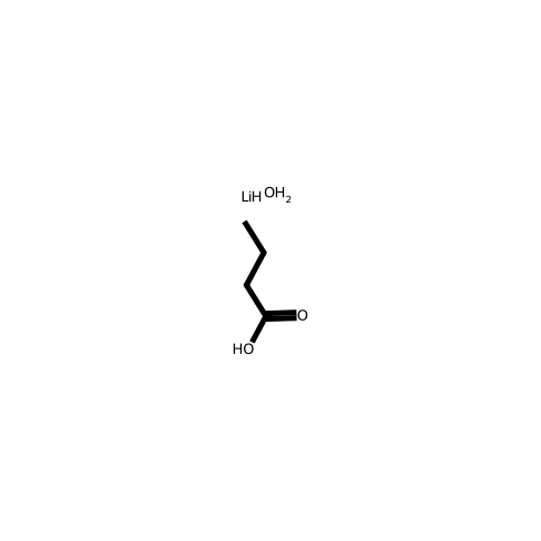 CCCC(=O)O.O.[LiH]